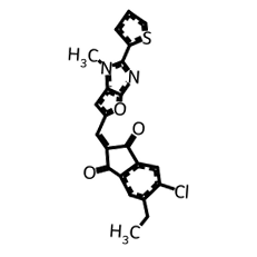 CCc1cc2c(cc1Cl)C(=O)/C(=C\c1cc3c(nc(-c4cccs4)n3C)o1)C2=O